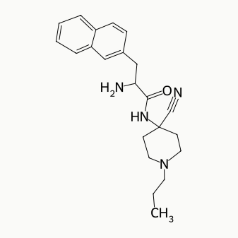 CCCN1CCC(C#N)(NC(=O)C(N)Cc2ccc3ccccc3c2)CC1